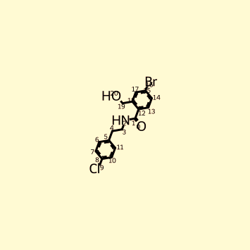 O=C(NCCc1ccc(Cl)cc1)c1ccc(Br)cc1CO